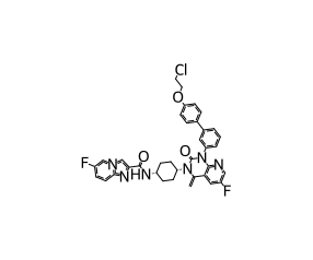 C=C1c2cc(F)cnc2N(c2cccc(-c3ccc(OCCCl)cc3)c2)C(=O)N1[C@H]1CC[C@@H](NC(=O)c2cn3cc(F)ccc3n2)CC1